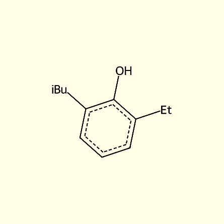 CCc1cccc(C(C)CC)c1O